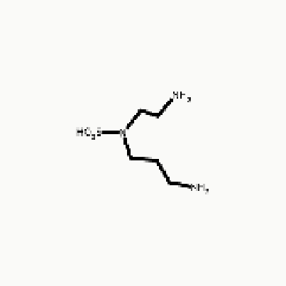 NCCCN(CCN)S(=O)(=O)O